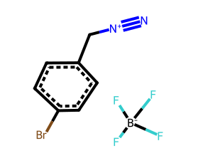 F[B-](F)(F)F.N#[N+]Cc1ccc(Br)cc1